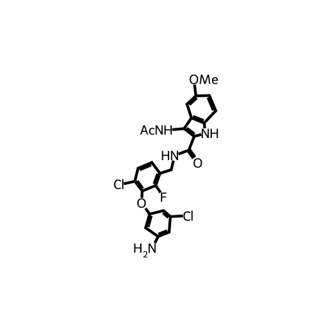 COc1ccc2[nH]c(C(=O)NCc3ccc(Cl)c(Oc4cc(N)cc(Cl)c4)c3F)c(NC(C)=O)c2c1